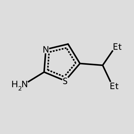 CCC(CC)c1cnc(N)s1